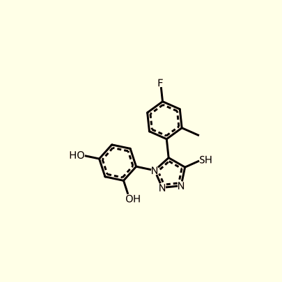 Cc1cc(F)ccc1-c1c(S)nnn1-c1ccc(O)cc1O